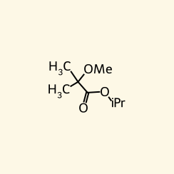 COC(C)(C)C(=O)OC(C)C